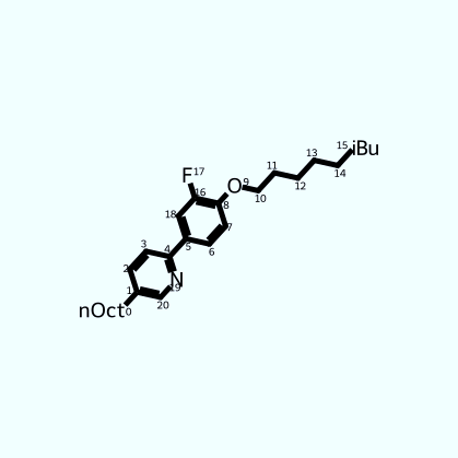 CCCCCCCCc1ccc(-c2ccc(OCCCCCC(C)CC)c(F)c2)nc1